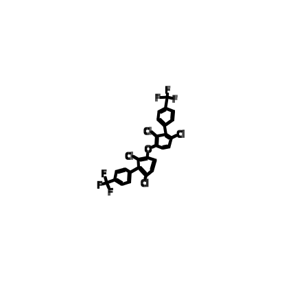 FC(F)(F)c1ccc(-c2c(Cl)ccc(Oc3ccc(Cl)c(-c4ccc(C(F)(F)F)cc4)c3Cl)c2Cl)cc1